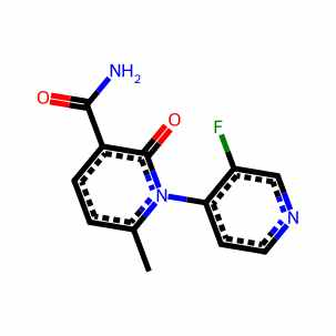 Cc1ccc(C(N)=O)c(=O)n1-c1ccncc1F